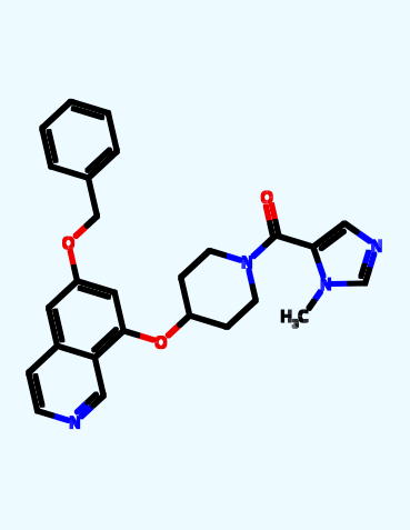 Cn1cncc1C(=O)N1CCC(Oc2cc(OCc3ccccc3)cc3ccncc23)CC1